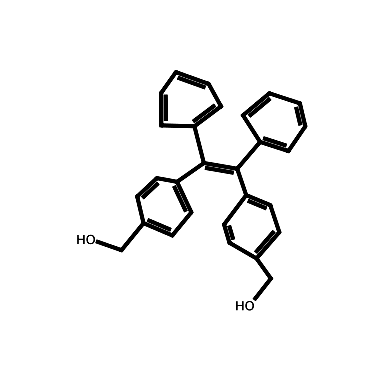 OCc1ccc(/C(=C(/c2ccccc2)c2ccc(CO)cc2)c2ccccc2)cc1